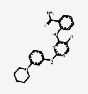 NC(=O)c1ccccc1Nc1nc(Nc2cccc(N3CCCCC3)c2)ncc1Cl